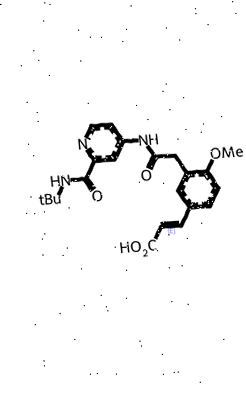 COc1ccc(/C=C/C(=O)O)cc1CC(=O)Nc1ccnc(C(=O)NC(C)(C)C)c1